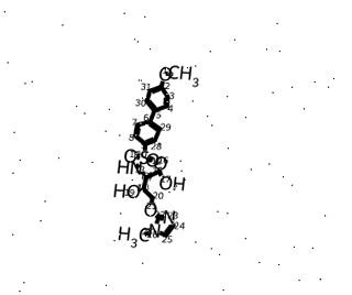 COc1ccc(-c2ccc(S(=O)(=O)N[C@@H](C(=O)O)[C@H](O)COc3nccn3C)cc2)cc1